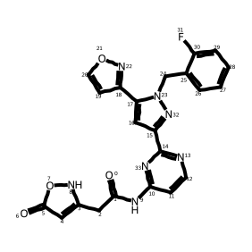 O=C(Cc1cc(=O)o[nH]1)Nc1ccnc(-c2cc(-c3ccon3)n(Cc3ccccc3F)n2)n1